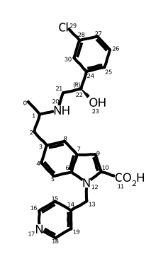 CC(Cc1ccc2c(c1)cc(C(=O)O)n2Cc1ccncc1)NC[C@H](O)c1cccc(Cl)c1